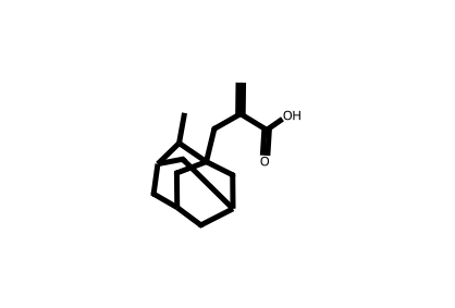 C=C(CC12CC3CC(CC(C3)C1C)C2)C(=O)O